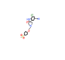 CS(=O)(=O)c1ccc(OCCN2CCC3(CC2)C(=O)Nc2c(Cl)cc(C#N)cc23)cc1